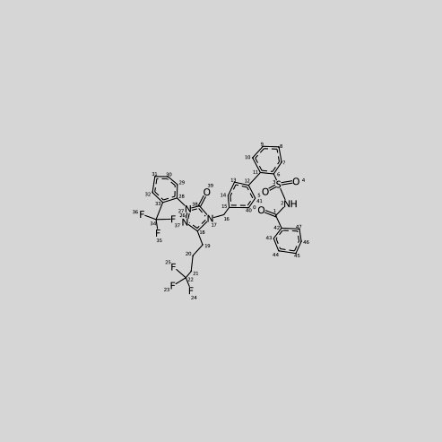 O=C(NS(=O)(=O)c1ccccc1-c1ccc(Cn2c(CCCC(F)(F)F)nn(-c3ccccc3C(F)(F)F)c2=O)cc1)c1ccccc1